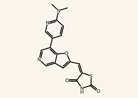 CN(C)c1ccc(-c2cncc3cc(C=C4SC(=O)NC4=O)oc23)cn1